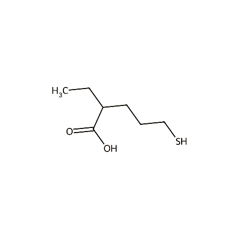 CCC(CCCS)C(=O)O